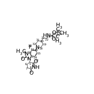 Cn1c(=O)n(C2CCC(=O)NC2=O)c2ccc(N3CCC(CCNC(=O)OC(C)(C)C)CC3)c(F)c21